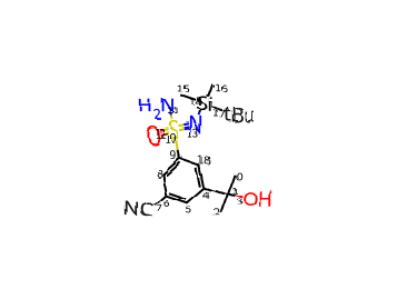 CC(C)(O)c1cc(C#N)cc(S(N)(=O)=N[Si](C)(C)C(C)(C)C)c1